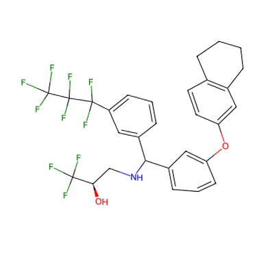 O[C@H](CNC(c1cccc(Oc2ccc3c(c2)CCCC3)c1)c1cccc(C(F)(F)C(F)(F)C(F)(F)F)c1)C(F)(F)F